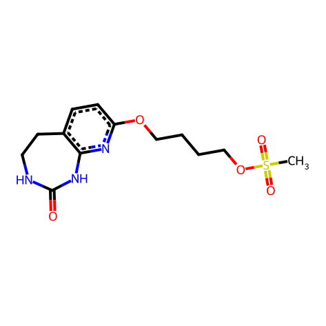 CS(=O)(=O)OCCCCOc1ccc2c(n1)NC(=O)NCC2